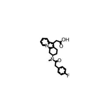 CN(C(=O)Cc1ccc(F)cc1)[C@@H]1CCc2c(CC(=O)O)c3ccccn3c2C1